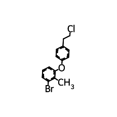 Cc1c(Br)cccc1Oc1ccc(CCCl)cc1